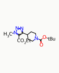 CCOC(=O)c1c(C2CCN(C(=O)OC(C)(C)C)CC2)nnn1C